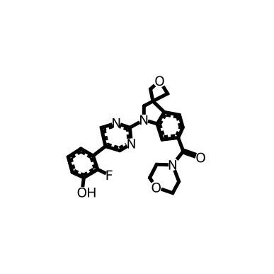 O=C(c1ccc2c(c1)N(c1ncc(-c3cccc(O)c3F)cn1)CC21COC1)N1CCOCC1